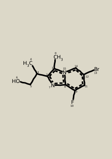 Cc1c(C(C)CO)nc2c(F)cc(Br)cn12